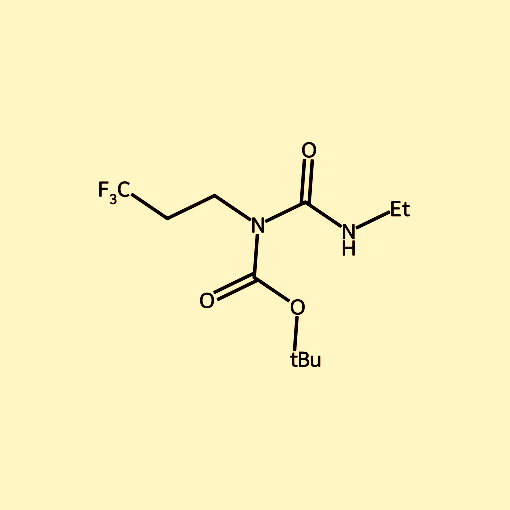 CCNC(=O)N(CCC(F)(F)F)C(=O)OC(C)(C)C